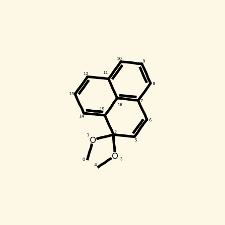 COC1(OC)C=Cc2cccc3cccc1c23